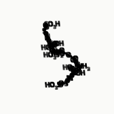 Nc1ccc2c(O)c(N=Nc3ccc(N=Nc4ccc(SC#COOS(=O)(=O)O)cc4)cc3)c(SOOO)cc2c1N=Nc1ccc(S(=O)(=O)CCCCOCCCCS(=O)(=O)c2ccc(N=Nc3c(N)ccc4c(O)c(N=Nc5ccc(N=Nc6ccc(SC#COOS(=O)(=O)O)cc6)cc5)c(SOOO)cc34)c(S(=O)(=O)O)c2)cc1